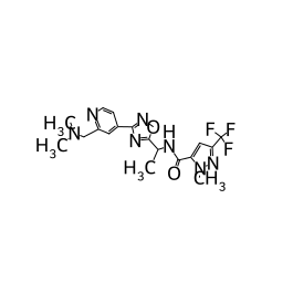 CC(NC(=O)c1cc(C(F)(F)F)nn1C)c1nc(-c2ccnc(CN(C)C)c2)no1